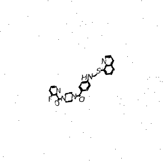 O=C(c1ccc(NCSc2cccc3cccnc23)cc1)N1CCN(C(=O)c2ncccc2F)CC1